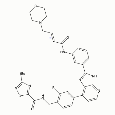 CC(C)(C)c1noc(C(=O)NCc2ccc(-c3ccnc4[nH]c(-c5cccc(NC(=O)/C=C/CN6CCOCC6)c5)nc34)cc2F)n1